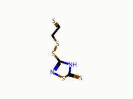 S=CCSSc1nsc(=S)[nH]1